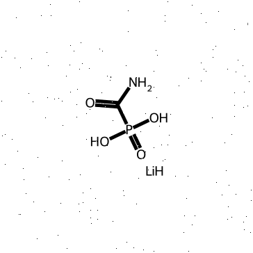 NC(=O)P(=O)(O)O.[LiH]